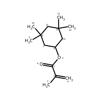 C=C(C)C(=O)OC1CC(C)(C)CC(C)(C)C1